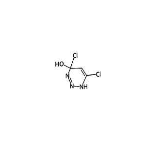 OC1(Cl)C=C(Cl)NN=N1